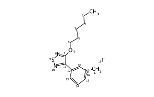 CCCCCCOc1nsnc1-c1ccc[n+](C)c1.[I-]